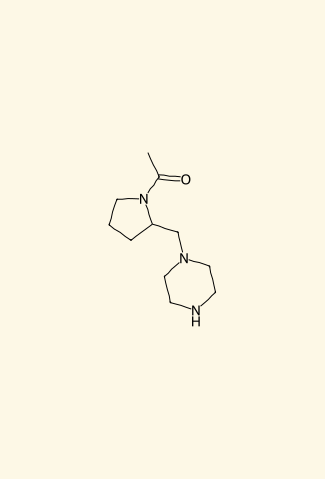 CC(=O)N1CCCC1CN1CCNCC1